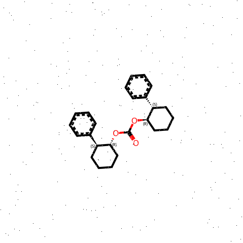 O=C(O[C@@H]1CCCC[C@H]1c1ccccc1)O[C@@H]1CCCC[C@H]1c1ccccc1